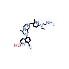 CCN(CCN)c1ccc(CN2CCN3C(C)CN(c4ccc(C#N)c5nc(O)ccc45)CC3C2)c(C)n1